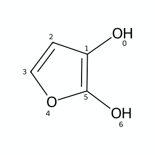 Oc1ccoc1O